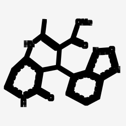 COC(=O)C1=C(C)Nc2cc[nH]c(=O)c2C1c1cccc2nonc12